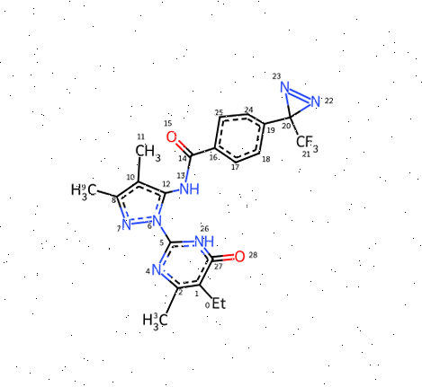 CCc1c(C)nc(-n2nc(C)c(C)c2NC(=O)c2ccc(C3(C(F)(F)F)N=N3)cc2)[nH]c1=O